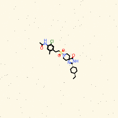 CC[C@H]1CC[C@H](C2=NC3(CCN(S(=O)(=O)CCc4cc(Cl)c(NC(C)=O)cc4C)CC3)C(=O)N2)CC1